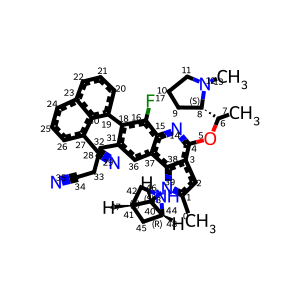 Cc1cc2c(OC(C)[C@@H]3CCCN3C)nc3c(F)c(-c4cccc5cccc(C#N)c45)c(CCC#N)cc3c2n1[C@H]1[C@H]2CN[C@@H]1C2